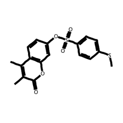 CSc1ccc(S(=O)(=O)Oc2ccc3c(C)c(C)c(=O)oc3c2)cc1